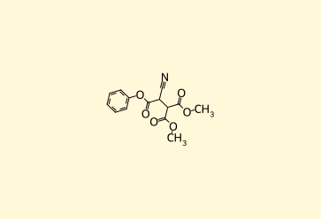 COC(=O)C(C(=O)OC)C(C#N)C(=O)Oc1ccccc1